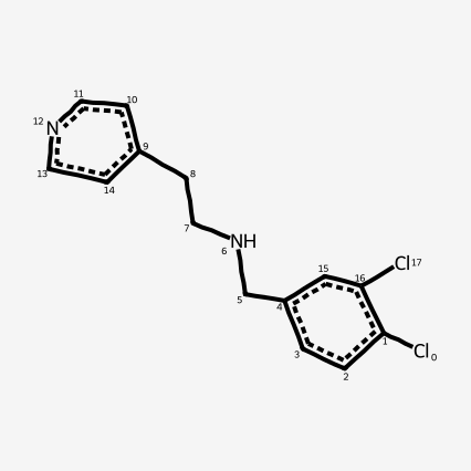 Clc1ccc(CNCCc2ccncc2)cc1Cl